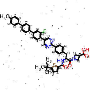 Cc1ccc(-c2ccc(-c3ccc(-c4cnc(-c5ccc(C[C@H](NC(=O)c6ccc(C(C)(C)C)s6)C(=O)N6CC(C(=O)O)C6)cc5)nc4)c(F)c3)cc2)cc1